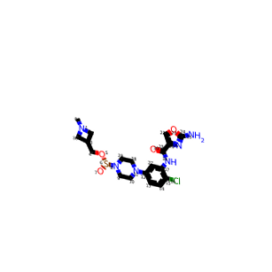 CN1CC(COS(=O)N2CCN(c3ccc(Cl)c(NC(=O)c4coc(N)n4)c3)CC2)C1